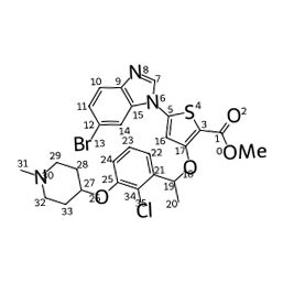 COC(=O)c1sc(-n2cnc3ccc(Br)cc32)cc1OC(C)c1cccc(OC2CCN(C)CC2)c1Cl